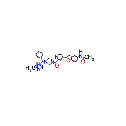 CC(=O)Nc1ccc2c(c1)CC(c1ccnc(C(=O)N3CCN(C(c4ccccc4)c4nnn(C)n4)CC3)c1)O2